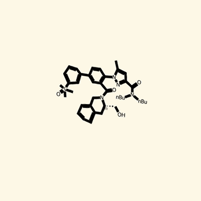 CCCCN(CCCC)C(=O)c1cc(C)n(-c2ccc(-c3cccc(S(C)(C)(C)=O)c3)cc2C(=O)N2Cc3ccccc3C[C@H]2CO)n1